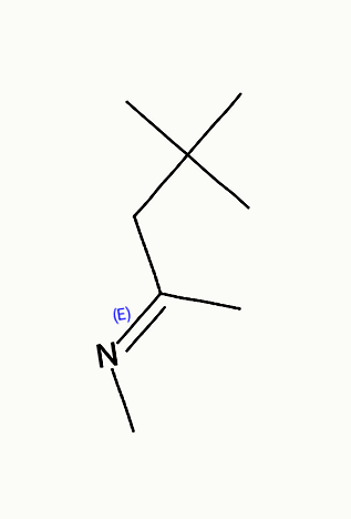 C/N=C(\C)CC(C)(C)C